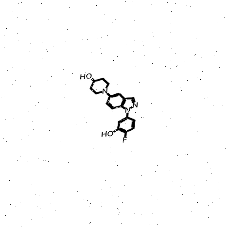 Oc1cc(-n2ncc3cc(N4CCC(O)CC4)ccc32)ccc1F